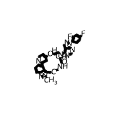 Cn1nc2cccc3c2c1CCCNC(=O)[C@@H]1C[C@@H](CN1c1ncnc2c1cnn2-c1ccc(F)cc1F)Oc1ccnc-3c1